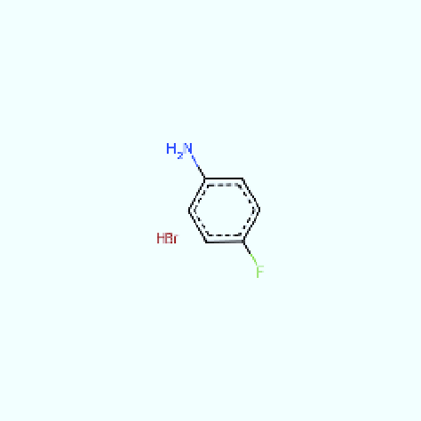 Br.Nc1ccc(F)cc1